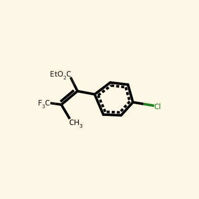 CCOC(=O)C(=C(C)C(F)(F)F)c1ccc(Cl)cc1